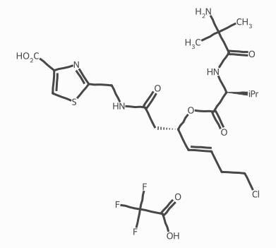 CC(C)[C@H](NC(=O)C(C)(C)N)C(=O)O[C@H](/C=C/CCCl)CC(=O)NCc1nc(C(=O)O)cs1.O=C(O)C(F)(F)F